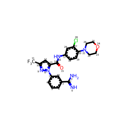 N=C(N)c1cccc(-n2nc(C(F)(F)F)cc2C(=O)Nc2ccc(N3CCOCC3)c(Cl)c2)c1